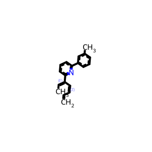 C=C/C=C\C(=C/C)c1cccc(-c2cccc(C)c2)n1